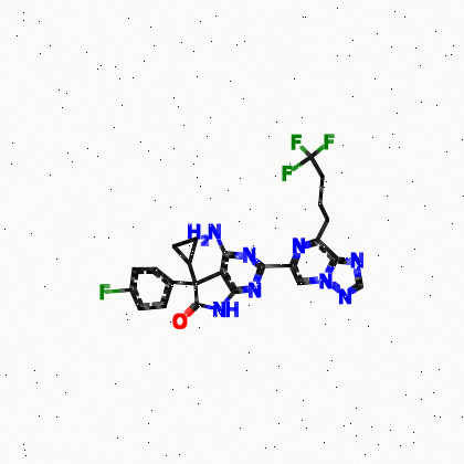 Nc1nc(-c2cn3ncnc3c(CCCC(F)(F)F)n2)nc2c1C(c1ccc(F)cc1)(C1CC1)C(=O)N2